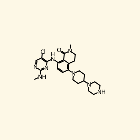 CNc1ncc(Cl)c(Nc2ccc(N3CCC(N4CCNCC4)CC3)c3c2C(=O)N(C)CC3)n1